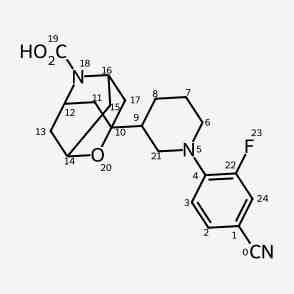 N#Cc1ccc(N2CCCC(C34CC5CC(CC(C3)N5C(=O)O)O4)C2)c(F)c1